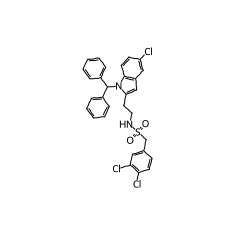 O=S(=O)(Cc1ccc(Cl)c(Cl)c1)NCCc1cc2cc(Cl)ccc2n1C(c1ccccc1)c1ccccc1